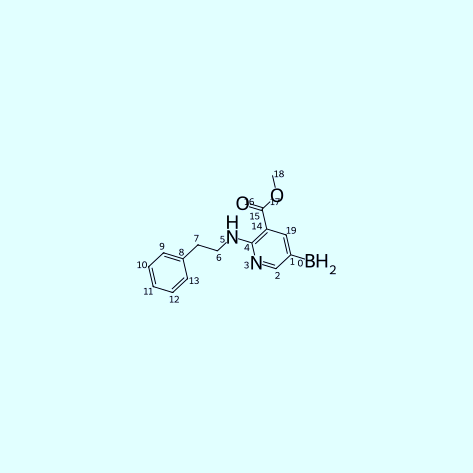 Bc1cnc(NCCc2ccccc2)c(C(=O)OC)c1